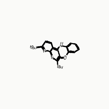 CC(C)(C)c1ccc2c3c(c(C(C)(C)C)nc2n1)Oc1ccccc1N3